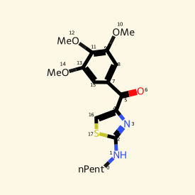 CCCCCNc1nc(C(=O)c2cc(OC)c(OC)c(OC)c2)cs1